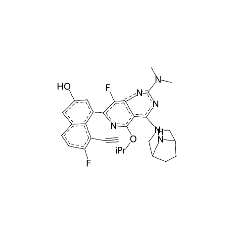 C#Cc1c(F)ccc2cc(O)cc(-c3nc(OC(C)C)c4c(N5CC6CCC(C5)N6)nc(N(C)C)nc4c3F)c12